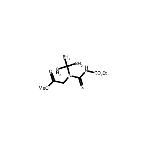 BC(B)(B)N(CC(=O)OC)C(=S)NC(=O)OCC